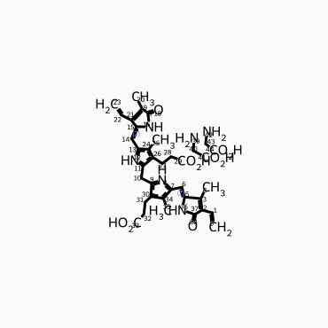 C=CC1=C(C)/C(=C/c2[nH]c(Cc3[nH]c(/C=C4\NC(=O)C(C)=C4C=C)c(C)c3CCC(=O)O)c(CCC(=O)O)c2C)NC1=O.NCC(=O)O.NCC(=O)O